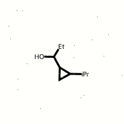 CCC(O)C1CC1C(C)C